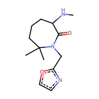 CNC1CCCC(C)(C)N(Cc2ncco2)C1=O